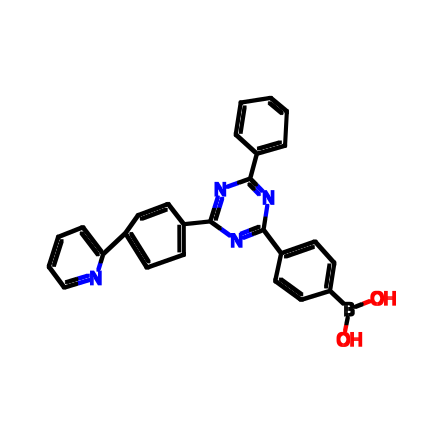 OB(O)c1ccc(-c2nc(-c3ccccc3)nc(-c3ccc(-c4ccccn4)cc3)n2)cc1